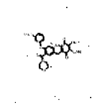 COC1=C(OC)C(=O)C(Cc2ccc(Oc3cccc(OC)c3)c(C(=O)N3CCOCC3)c2)=C(C)C1=O